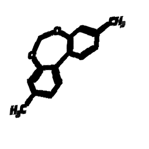 Cc1ccc2c(c1)OCOc1cc(C)ccc1-2